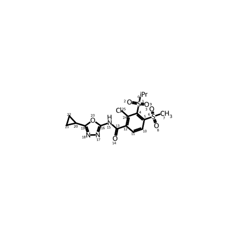 CC(C)S(=O)(=O)c1c(S(C)(=O)=O)ccc(C(=O)Nc2nnc(C3CC3)o2)c1Cl